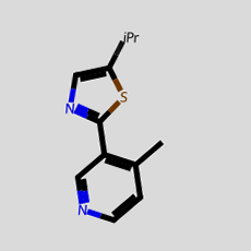 Cc1ccncc1-c1ncc(C(C)C)s1